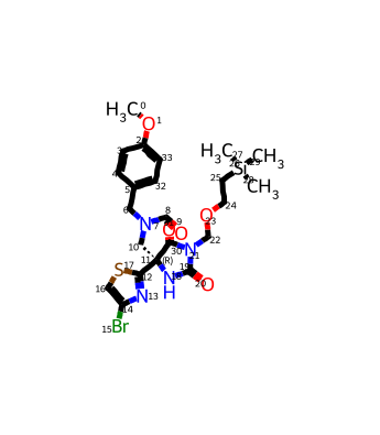 COc1ccc(CN(C=O)C[C@@]2(c3nc(Br)cs3)NC(=O)N(COCC[Si](C)(C)C)C2=O)cc1